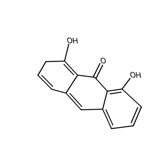 O=C1C2=C(O)CC=CC2=Cc2cccc(O)c21